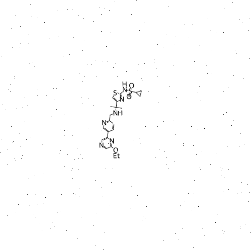 CCOc1cncc(-c2ccc(CNC(C)(C)c3csc(NS(=O)(=O)C4CC4)n3)nc2)n1